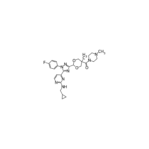 CN1CCN(C(=O)C2(C)COC(c3nc(-c4ccnc(NCC5CC5)n4)n(-c4ccc(F)cc4)n3)OC2)CC1